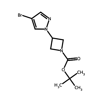 CC(C)(C)OC(=O)N1CC(n2cc(Br)cn2)C1